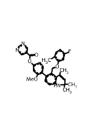 COc1cc(OC(=O)c2cncnc2)ccc1-c1ccc2c(c1COc1cc(F)ccc1C)C(C)=CC(C)(C)N2